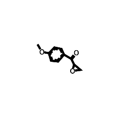 COc1ccc(C(=O)C2CO2)cc1